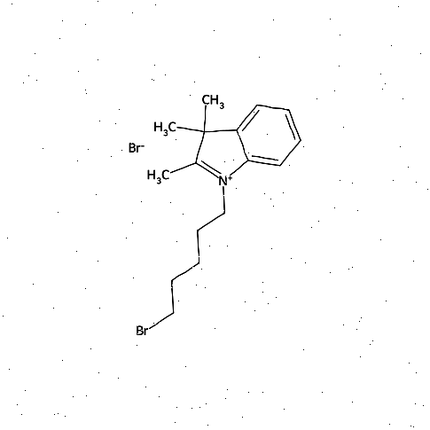 CC1=[N+](CCCCCBr)c2ccccc2C1(C)C.[Br-]